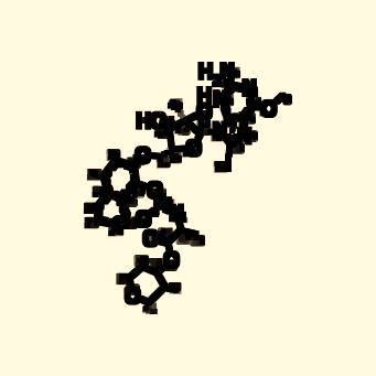 COc1nc(N)nc2c1nc(I)n2[C@@H]1O[C@H](COc2ccc3ccccc3c2O/[P+]([O-])=N/[C@@H](C)C(=O)OC2CCOCC2)[C@@H](O)[C@@]1(C)O